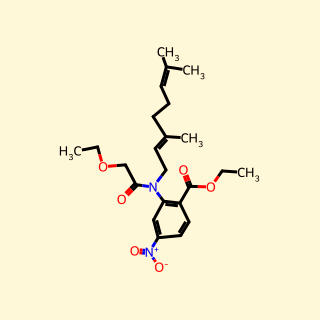 CCOCC(=O)N(C/C=C(\C)CCC=C(C)C)c1cc([N+](=O)[O-])ccc1C(=O)OCC